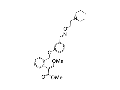 CO/C=C(/C(=O)OC)c1ccccc1COc1cccc(/C=N/OCCN2CCCCC2)c1